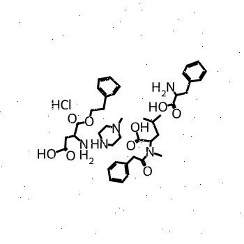 CC(C)CC(C(=O)O)N(C)C(=O)Cc1ccccc1.CN1CCNCC1.Cl.NC(CC(=O)O)C(=O)OCCc1ccccc1.NC(Cc1ccccc1)C(=O)O